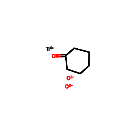 O=C1CCCCC1.[O-2].[O-2].[Ti+4]